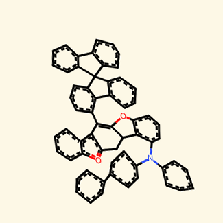 c1ccc(-c2ccc(N(c3ccccc3)c3cccc4c3C3Cc5oc6ccccc6c5C(c5cccc6c5-c5ccccc5C65c6ccccc6-c6ccccc65)=C3O4)cc2)cc1